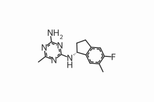 Cc1nc(N)nc(N[C@@H]2CCc3cc(F)c(C)cc32)n1